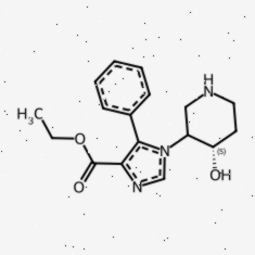 CCOC(=O)c1ncn(C2CNCC[C@@H]2O)c1-c1ccccc1